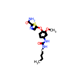 CCCCCNC(=O)Nc1ccc(Oc2cnc(C(N)=O)s2)c(OC)c1